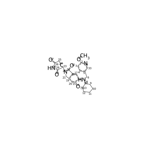 COc1ccc(CN[C@H]2CCCC[C@@H]2Oc2ccc3c(c2)CN(C2CCC(=O)NC2=O)C3=O)cn1